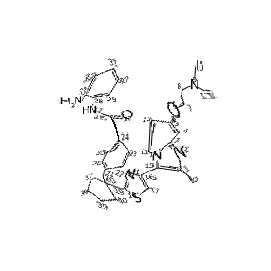 Cc1nc2cc(OCCN(C)C)ccn2c1-c1csc(C2(c3ccc(C(=O)Nc4ccccc4N)cc3)CCCC2)n1